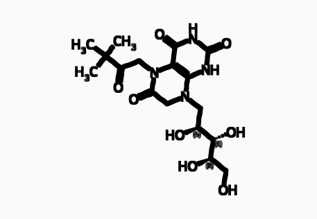 CC(C)(C)C(=O)CN1C(=O)CN(C[C@H](O)[C@H](O)[C@H](O)CO)c2[nH]c(=O)[nH]c(=O)c21